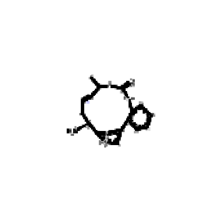 CC1/C=C/C[C@H](N)c2nc(c[nH]2)-c2ccccc2NC(=O)C1